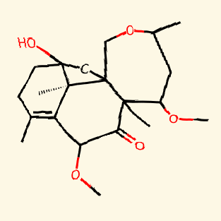 COC1C(=O)C2(C)C(OC)CC(C)OCC23CC2(O)CCC(C)=C1[C@@]23C